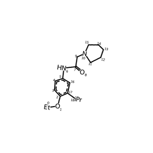 CCOc1ccc(NC(=O)CN2CCCCC2)cc1C(C)C